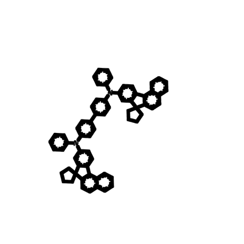 c1ccc(N(c2ccc(-c3ccc(N(c4ccccc4)c4ccc5c(c4)C4(CCCC4)c4ccc6ccccc6c4-5)cc3)cc2)c2ccc3c(c2)C2(CCCC2)c2ccc4ccccc4c2-3)cc1